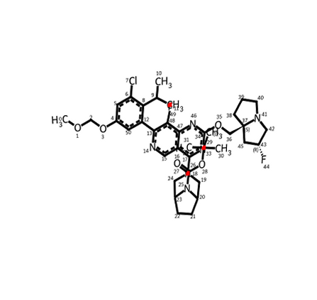 COCOc1cc(Cl)c(C(C)C)c(-c2ncc3c(N4CC5CCC(C4)N5C(=O)OC(C)(C)C)nc(OC[C@@]45CCCN4C[C@H](F)C5)nc3c2F)c1